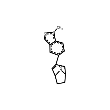 CN1C2C=C(c3ccc4c(cnn4C)c3)CC1CC2